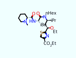 CCCCCCN(C(=O)[C@@H](NC(=O)[C@H]1CCCCN1C)[C@@H](C)CC)[C@H](C[C@@H](OCC)c1nc(C(=O)OCC)cs1)C(C)C